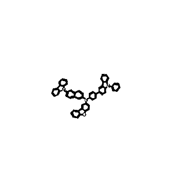 c1ccc(-n2c3ccccc3c3cc(-c4ccc(N(c5ccc6cc(-n7c8ccccc8c8ccccc87)ccc6c5)c5ccc6oc7ccccc7c6c5)cc4)ccc32)cc1